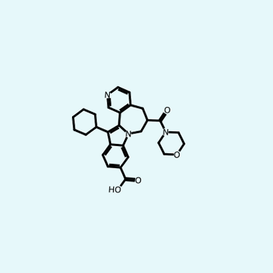 O=C(O)c1ccc2c(C3CCCCC3)c3n(c2c1)CC(C(=O)N1CCOCC1)Cc1ccncc1-3